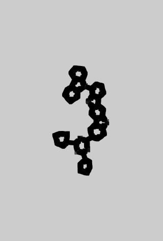 c1ccc(-c2nc(-c3ccccc3)nc(-c3ccc4sc5cc6c(cc5c4c3)oc3c(-n4c5ccccc5c5ccccc54)cccc36)n2)cc1